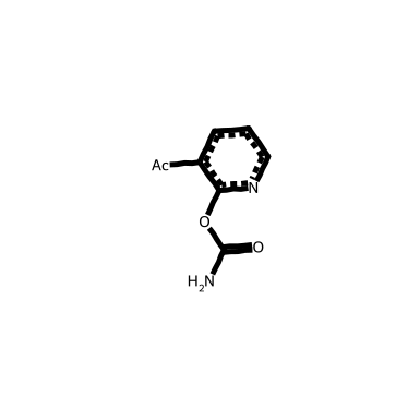 CC(=O)c1cccnc1OC(N)=O